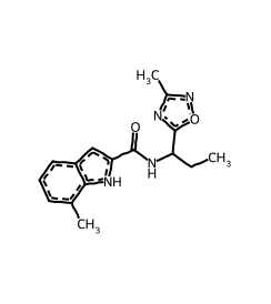 CCC(NC(=O)c1cc2cccc(C)c2[nH]1)c1nc(C)no1